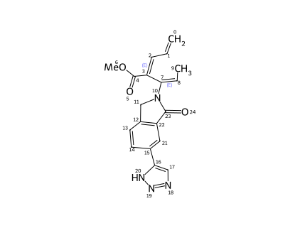 C=C/C=C(C(=O)OC)\C(=C/C)N1Cc2ccc(-c3cnn[nH]3)cc2C1=O